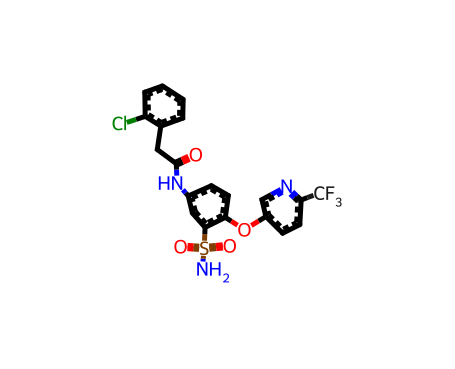 NS(=O)(=O)c1cc(NC(=O)Cc2ccccc2Cl)ccc1Oc1ccc(C(F)(F)F)nc1